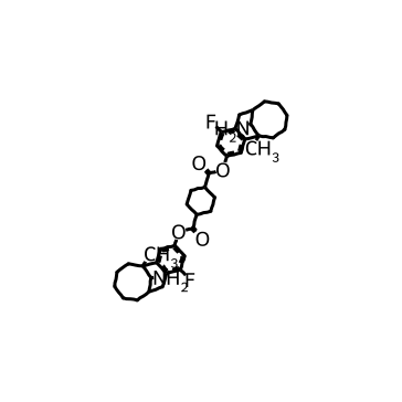 CC12CCCCCC(Cc3c(F)cc(OC(=O)C4CCC(C(=O)Oc5cc(F)c6c(c5)C5(C)CCCCCC(C6)C5N)CC4)cc31)C2N